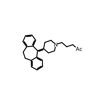 CC(=O)CCCN1CCC(=C2c3ccccc3CCc3ccccc32)CC1